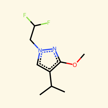 COc1nn(CC(F)F)cc1C(C)C